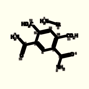 CCN.NC(=O)c1cc(C(N)=O)c(C(=O)O)cc1C(=O)O